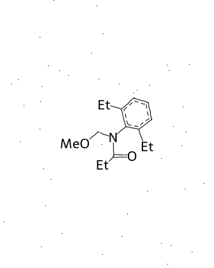 CCC(=O)N(COC)c1c(CC)cccc1CC